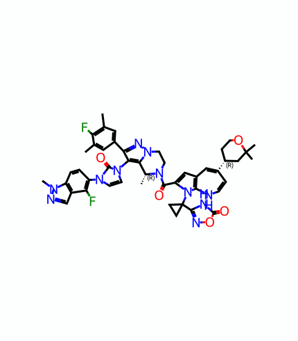 Cc1cc(-c2nn3c(c2-n2ccn(-c4ccc5c(cnn5C)c4F)c2=O)[C@@H](C)N(C(=O)c2cc4c(n2C2(c5noc(=O)[nH]5)CC2)NC=CC([C@@H]2CCOC(C)(C)C2)=C4)CC3)cc(C)c1F